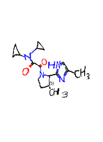 Cc1c[nH]c(C2[C@@H](C)CCN2C(=O)C(=O)N(C2CC2)C2CC2)n1